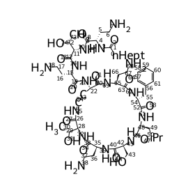 CCCCCCCC(=O)N[C@@H](CCN)C(=O)N[C@H](C(=O)N[C@@H](CCN)C(=O)N[C@H]1CCNC(=O)[C@H]([C@@H](C)O)NC(=O)[C@H](CCN)NC(=O)[C@H](CO)NC(=O)[C@H](CC(C)C)NC(=O)[C@@H](Cc2ccccc2)NC(=O)[C@H](CCN)NC1=O)[C@@H](C)O